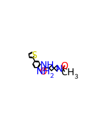 CC(=O)N1CC2(CC(C(=O)Nc3cc(-c4cccs4)ccc3N)C2)C1